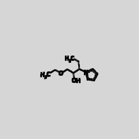 CCOCC(O)C(CC)n1cccc1